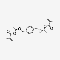 C=C(C)C(=O)OC(C)OCc1ccc(COC(C)OC(=O)C(=C)C)cc1